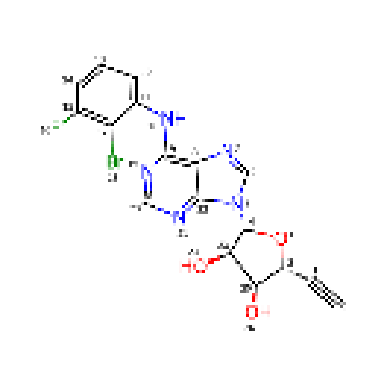 C#C[C@H]1O[C@@H](n2cnc3c(Nc4cccc(F)c4Br)ncnc32)[C@H](O)[C@@H]1O